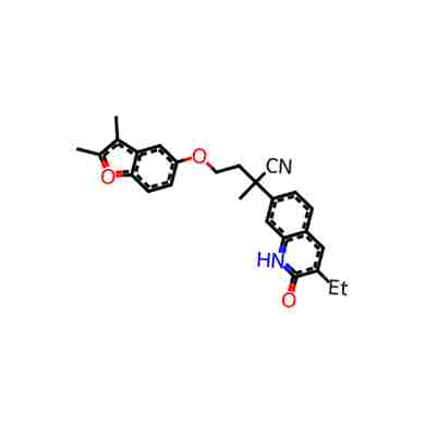 CCc1cc2ccc(C(C)(C#N)CCOc3ccc4oc(C)c(C)c4c3)cc2[nH]c1=O